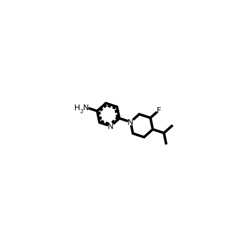 CC(C)C1CCN(c2ccc(N)cn2)CC1F